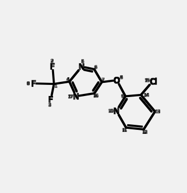 FC(F)(F)c1ncc(Oc2ncccc2Cl)cn1